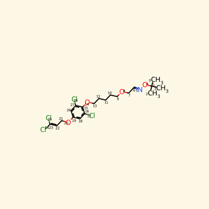 CC(C)(C)O/N=C/COCCCCCOc1c(Cl)cc(OCC=C(Cl)Cl)cc1Cl